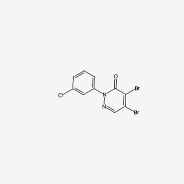 O=c1c(Br)c(Br)cnn1-c1cccc(Cl)c1